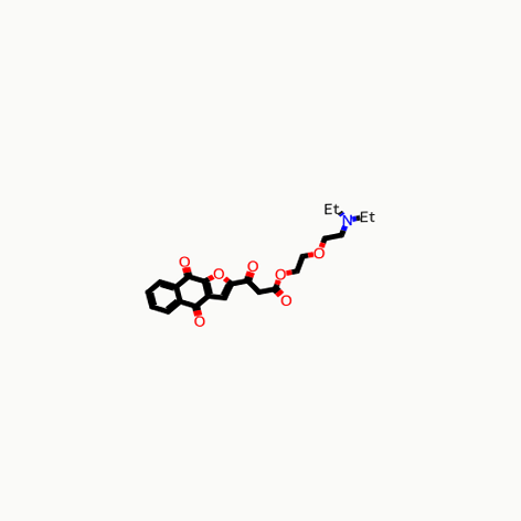 CCN(CC)CCOCCOC(=O)CC(=O)c1cc2c(o1)C(=O)c1ccccc1C2=O